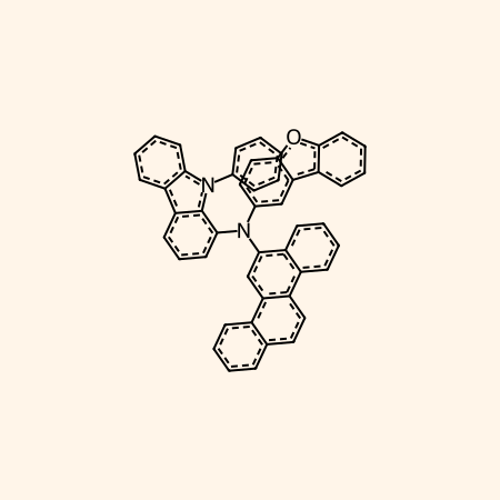 c1ccc(-n2c3ccccc3c3cccc(N(c4ccc5oc6ccccc6c5c4)c4cc5c6ccccc6ccc5c5ccccc45)c32)cc1